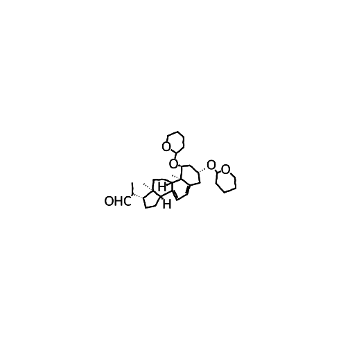 CC(C=O)[C@H]1CC[C@H]2C3=CC=C4C[C@@H](OC5CCCCO5)C[C@H](OC5CCCCO5)[C@]4(C)[C@H]3CC[C@]12C